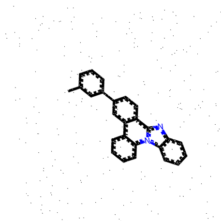 Cc1cccc(-c2ccc3c(c2)c2ccccc2n2c4ccccc4nc32)c1